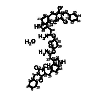 CN1C(=O)N(Cc2ccccc2)C(=O)C1Cc1ccc2[nH]cc(CC(N)OC(=O)/C=C\C(=O)OC(N)Cc3c[nH]c4ccc(CC5C(=O)N(Cc6ccccc6)C(=O)N5C)cc34)c2c1.O